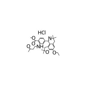 CCOc1cc2c(c3c1OC(C)(C)C3)C(c1ccc(C(=O)OC)c(NCCC(C)=O)c1)=NC(C)(C)C2.Cl